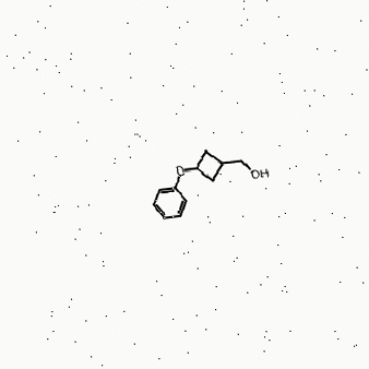 OCC1CC(Oc2ccccc2)C1